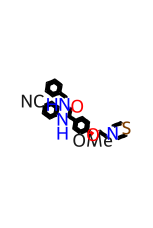 COc1cc([C@H](Nc2ccc(C#N)cc2)C(=O)NCc2ccccc2)ccc1OCCN1CCSCC1